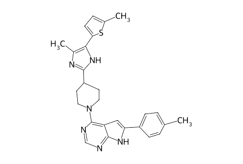 Cc1ccc(-c2cc3c(N4CCC(c5nc(C)c(-c6ccc(C)s6)[nH]5)CC4)ncnc3[nH]2)cc1